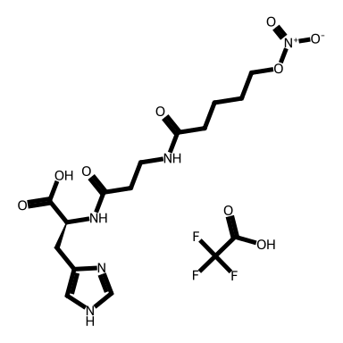 O=C(CCCCO[N+](=O)[O-])NCCC(=O)N[C@@H](Cc1c[nH]cn1)C(=O)O.O=C(O)C(F)(F)F